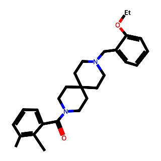 CCOc1ccccc1CN1CCC2(CC1)CCN(C(=O)c1cccc(C)c1C)CC2